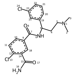 CN(C)CCC(NC(=O)c1ccc(Cl)c(C(N)=O)c1)c1cccc(Cl)c1